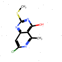 CSc1nc(O)c2c(C)nc(Cl)cc2n1